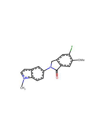 COc1cc2c(cc1F)CN(c1ccc3c(ccn3C)c1)C2=O